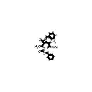 C=C(C(=O)OC)C1C(C(C)OC(=O)OCc2ccccc2)C(=O)N1Cc1ccccc1